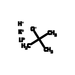 CC(C)(C)[O-].[H-].[K+].[Li+]